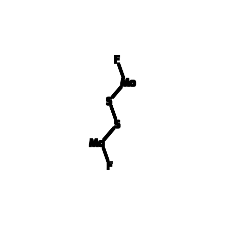 [F][Mo][S][S][Mo][F]